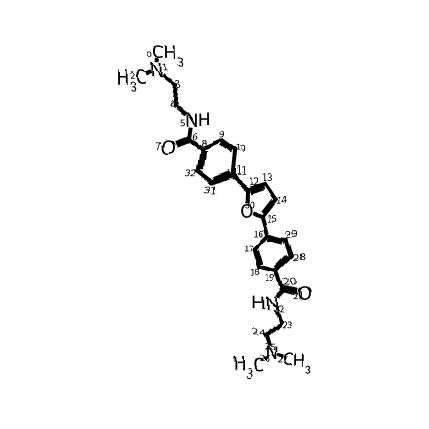 CN(C)CCNC(=O)c1ccc(-c2ccc(-c3ccc(C(=O)NCCN(C)C)cc3)o2)cc1